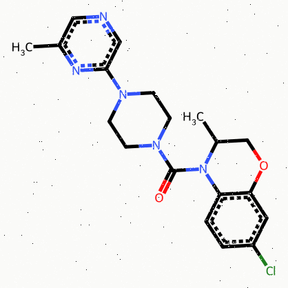 Cc1cncc(N2CCN(C(=O)N3c4ccc(Cl)cc4OCC3C)CC2)n1